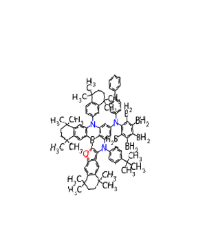 Bc1c(B)c(B)c(N(c2ccc(-c3ccccc3)cc2)c2cc3c4c(c2)N(c2ccc(C(C)(C)C)cc2)c2c(oc5cc6c(cc25)C(C)(C)CCC6(C)C)B4c2cc4c(cc2N3c2ccc3c(c2)C(C)(C)CCC3(C)C)C(C)(C)CCC4(C)C)c(B)c1B